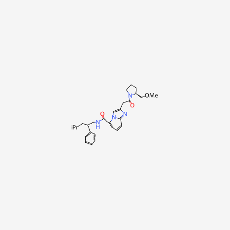 COC[C@@H]1CCCN1C(=O)Cc1cn2c(C(=O)NCC(CC(C)C)c3ccccc3)cccc2n1